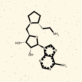 NCC[C@H]1CCCN1C[C@H]1O[C@@H](n2cnc3c(N)ncnc32)[C@H](O)[C@@H]1O